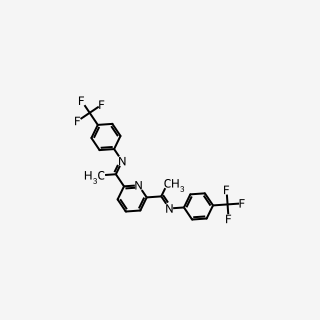 C/C(=N\c1ccc(C(F)(F)F)cc1)c1cccc(/C(C)=N/c2ccc(C(F)(F)F)cc2)n1